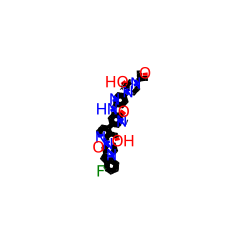 Cn1cc(-c2ccnc(-n3ccn4c(cc5c(F)cccc54)c3=O)c2CO)cc(Nc2ccc(N3CCN(C4COC4)C[C@]3(C)O)cn2)c1=O